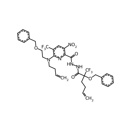 C=CCCN(CCOCc1ccccc1)c1nc(C(=O)NNC(=O)C(CCC=C)(OCc2ccccc2)C(F)(F)F)c([N+](=O)[O-])cc1C(F)(F)F